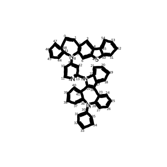 C1=Cc2cc3c(cc2N(c2ccnc(-n4c5c(c6ccccc64)-c4ccccc4N(c4ccccc4)c4ccccc4-5)c2)c2ccccc21)sc1ccccc13